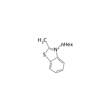 CCCCCC[n+]1c(C)sc2ccccc21